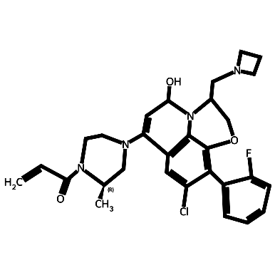 C=CC(=O)N1CCN(C2=CC(O)N3c4c2cc(Cl)c(-c2ccccc2F)c4OCC3CN2CCC2)C[C@H]1C